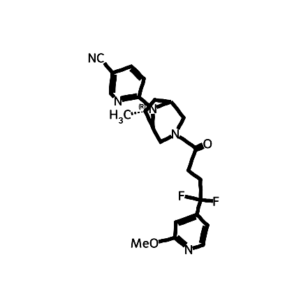 COc1cc(C(F)(F)CCC(=O)N2CC3C[C@@H](C)C(C2)N3c2ccc(C#N)cn2)ccn1